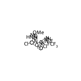 COC(=O)N(C)NC(=O)c1cc(Cl)cc(C)c1NC(=O)c1cc(Cn2nnc(C(F)(F)C(F)(F)F)n2)nn1-c1ncccc1Cl